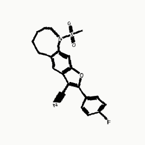 CS(=O)(=O)N1CCCCc2cc3c(C#N)c(-c4ccc(F)cc4)oc3cc21